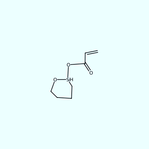 C=CC(=O)O[SiH]1CCCCO1